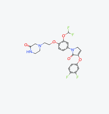 O=C1CN(CCOc2ccc(N3CC=C(Oc4ccc(F)c(F)c4)C3=O)cc2OC(F)F)CCN1